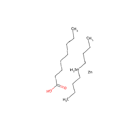 CCCCCCCC(=O)O.CCC[CH2][SnH2][CH2]CCC.[Zn]